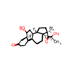 C[C@H](O)C(=O)[C@]1(C)CC[C@H]2[C@@H]3CC(O)C4=CC(=O)CCC4=C3CC[C@@]21C